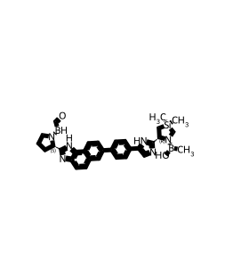 CB(O)N1C[Si](C)(C)C[C@H]1c1ncc(-c2ccc(-c3ccc4c(ccc5nc([C@@H]6CCCN6BC=O)[nH]c54)c3)cc2)[nH]1